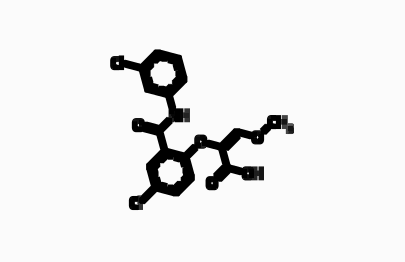 COC=C(Oc1ccc(Cl)cc1C(=O)Nc1cccc(Cl)c1)C(=O)O